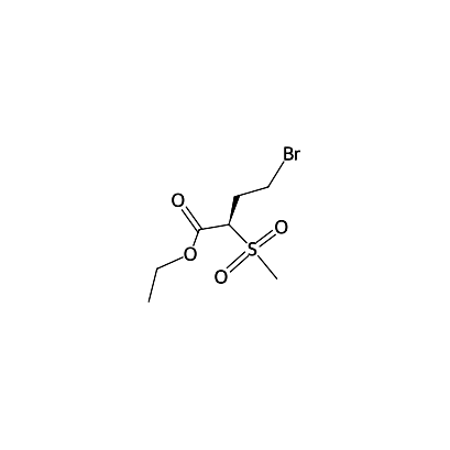 CCOC(=O)[C@@H](CCBr)S(C)(=O)=O